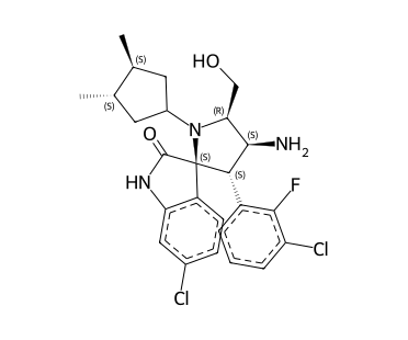 C[C@H]1CC(N2[C@@H](CO)[C@@H](N)[C@H](c3cccc(Cl)c3F)[C@]23C(=O)Nc2cc(Cl)ccc23)C[C@@H]1C